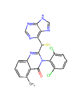 Cc1cccc2nc(C(S)c3ncnc4[nH]cnc34)n(-c3c(Cl)cccc3Cl)c(=O)c12